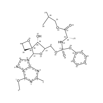 COc1nc(C)nc2c1ncn2C1OC(COP(=O)(N[C@@H](C)C(=O)OCC(C)C)Oc2ccccc2)[C@@H](O)[C@]12CCO2